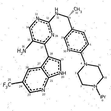 CC(C)N1CCN(c2ccc([C@@H](C)Nc3ncc(N)c(-c4c[nH]c5ncc(C(F)(F)F)cc45)n3)cn2)CC1